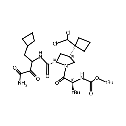 CC(C)(C)OC(=O)N[C@H](C(=O)N1C[C@@H](C2(C(Cl)Cl)CCC2)C[C@H]1C(=O)NC(CC1CCC1)C(=O)C(N)=O)C(C)(C)C